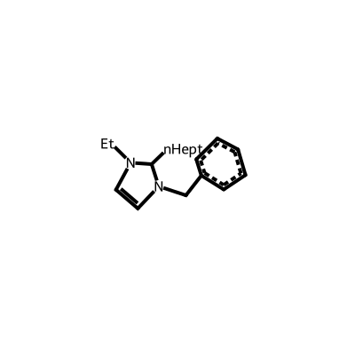 CCCCCCCC1N(CC)C=CN1Cc1ccccc1